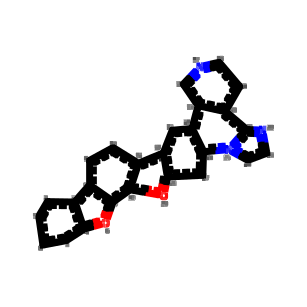 c1ccc2c(c1)oc1c2ccc2c3cc4c5cnccc5c5nccn5c4cc3oc21